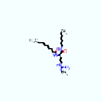 CCCCCCCCC(=O)N[C@@H](CCCN/C(N)=N/C)C(=O)NCCCCCCC